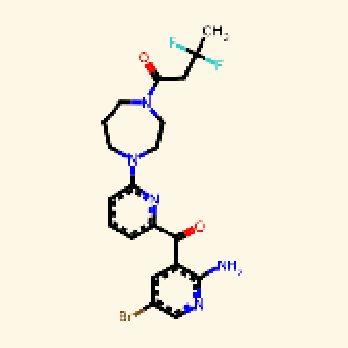 CC(F)(F)CC(=O)N1CCCN(c2cccc(C(=O)c3cc(Br)cnc3N)n2)CC1